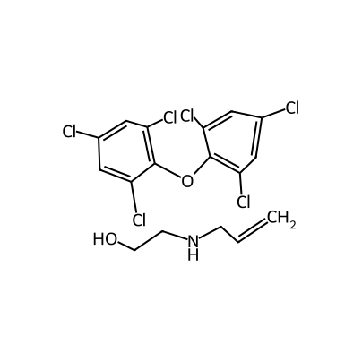 C=CCNCCO.Clc1cc(Cl)c(Oc2c(Cl)cc(Cl)cc2Cl)c(Cl)c1